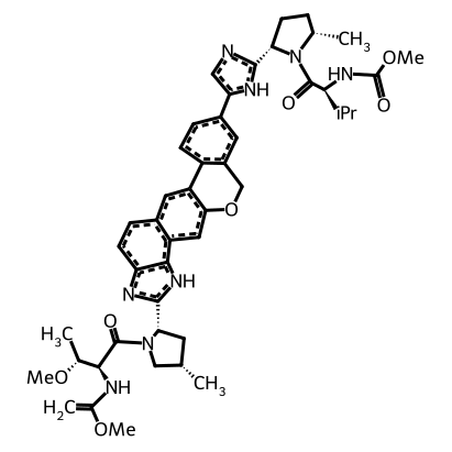 C=C(N[C@H](C(=O)N1C[C@@H](C)C[C@H]1c1nc2ccc3cc4c(cc3c2[nH]1)OCc1cc(-c2cnc([C@@H]3CC[C@H](C)N3C(=O)[C@@H](NC(=O)OC)C(C)C)[nH]2)ccc1-4)[C@@H](C)OC)OC